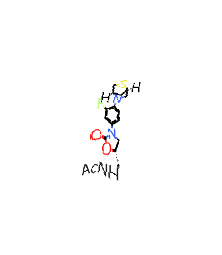 CC(=O)NC[C@H]1CN(c2ccc(N3C[C@H]4C[C@@H]3CS4)c(F)c2)C(=O)O1